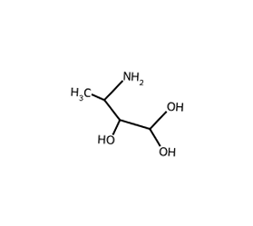 CC(N)C(O)C(O)O